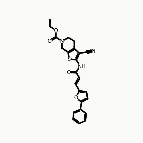 CCOC(=O)N1CCc2c(sc(NC(=O)/C=C/c3ccc(-c4ccccc4)o3)c2C#N)C1